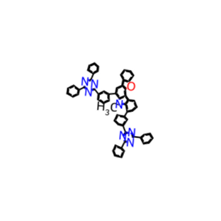 Cn1c2c(-c3cccc(-c4nc(-c5ccccc5)nc(-c5ccccc5)n4)c3)cccc2c2c3oc4ccccc4c3cc(-c3cccc(-c4nc(-c5ccccc5)nc(-c5ccccc5)n4)c3)c21